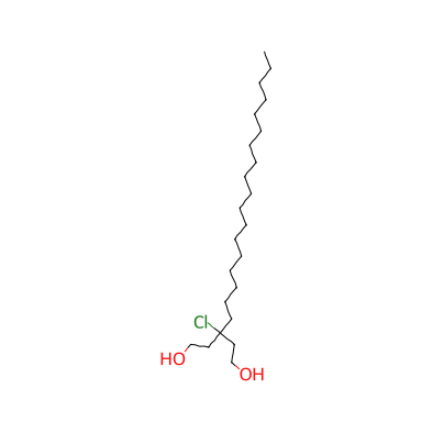 CCCCCCCCCCCCCCCCCCC(Cl)(CCO)CCO